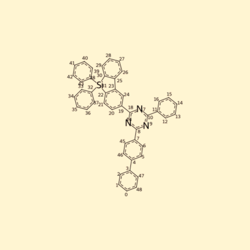 c1ccc(-c2ccc(-c3nc(-c4ccccc4)nc(-c4ccc5c(c4)-c4ccccc4[Si]5(c4ccccc4)c4ccccc4)n3)cc2)cc1